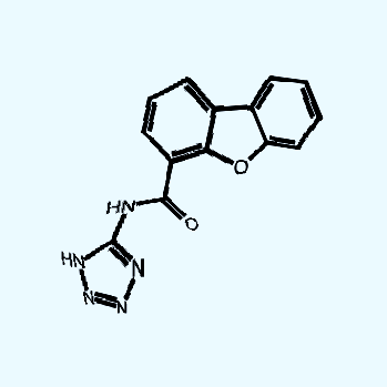 O=C(Nc1nnn[nH]1)c1cccc2c1oc1ccccc12